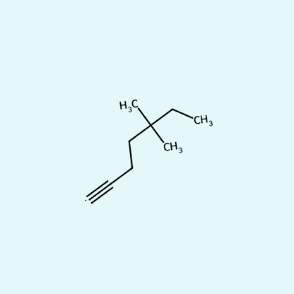 [C]#CCCC(C)(C)CC